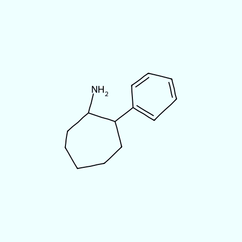 NC1CCCCCC1c1ccccc1